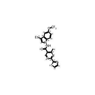 CCc1cn(NC(=O)c2cnc(-c3nccs3)nc2C)c2ccc(OC(F)(F)F)cc12